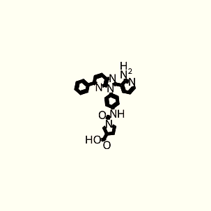 Nc1ncccc1-c1nc2ccc(-c3ccccc3)nc2n1-c1ccc(NC(=O)N2CCC(C(=O)O)C2)cc1